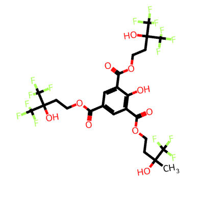 CC(O)(CCOC(=O)c1cc(C(=O)OCCC(O)(C(F)(F)F)C(F)(F)F)cc(C(=O)OCCC(O)(C(F)(F)F)C(F)(F)F)c1O)C(F)(F)F